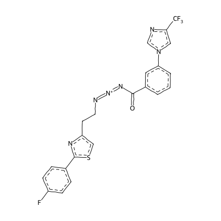 O=C(N=[N+]=NCCc1csc(-c2ccc(F)cc2)n1)c1cccc(-n2cnc(C(F)(F)F)c2)c1